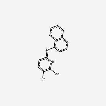 CCc1ccc(=Nc2cccc3ccccc23)[nH]c1C(C)=O